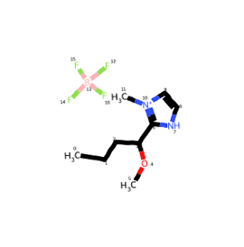 CCCC(OC)c1[nH]cc[n+]1C.F[B-](F)(F)F